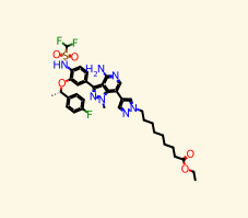 CCOC(=O)CCCCCCCCn1cc(-c2cnc(N)c3c(-c4ccc(NS(=O)(=O)C(F)F)c(O[C@@H](C)c5ccc(F)cc5)c4)nn(C)c23)cn1